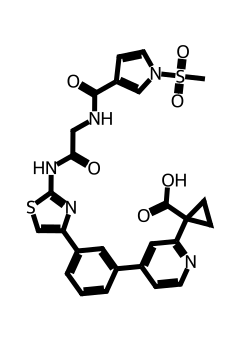 CS(=O)(=O)n1ccc(C(=O)NCC(=O)Nc2nc(-c3cccc(-c4ccnc(C5(C(=O)O)CC5)c4)c3)cs2)c1